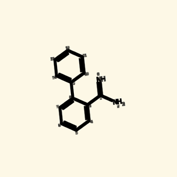 N=C(N)c1ccccc1-c1[c]cccc1